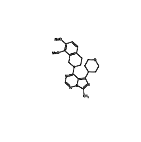 COc1ccc2c(c1OC)CN(c1ncnn3c(C)nc(C4CCOCC4)c13)CC2